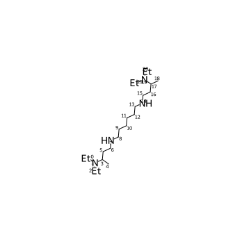 CCN(CC)C(C)CCNCCCCCCNCCC(C)N(CC)CC